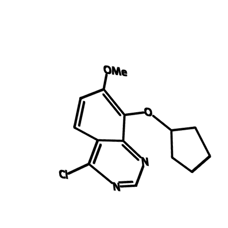 COc1ccc2c(Cl)ncnc2c1OC1CCCC1